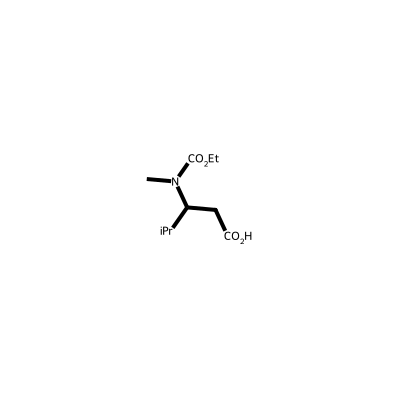 CCOC(=O)N(C)C(CC(=O)O)C(C)C